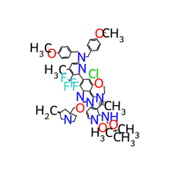 C=C1CN2CCC2(COc2nc3c4c(c(Cl)c(-c5nc(N(Cc6ccc(OC)cc6)Cc6ccc(OC)cc6)cc(C)c5C(F)(F)F)c(F)c4n2)OCCN3[C@H](C)c2cccnc2NC(=O)OC(C)(C)C)C1